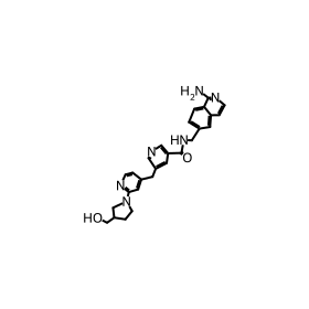 Nc1nccc2cc(CNC(=O)c3cncc(Cc4ccnc(N5CCC(CO)C5)c4)c3)ccc12